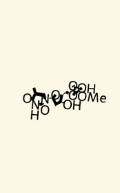 COP(=O)(O)OC[C@H]1O[C@@H](n2cc(C)c(=O)[nH]c2=O)C[C@H]1O